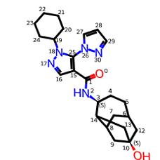 O=C(N[C@H]1CCC2CC3C[C@@](O)(C2)CC31)c1cnn(C2CCCCC2)c1-n1cccn1